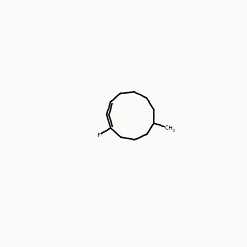 CC1CCCCC=C=C(F)CCC1